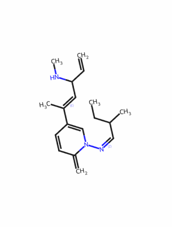 C=CC(/C=C(\C)C1=CN(/N=C\C(C)CC)C(=C)C=C1)NC